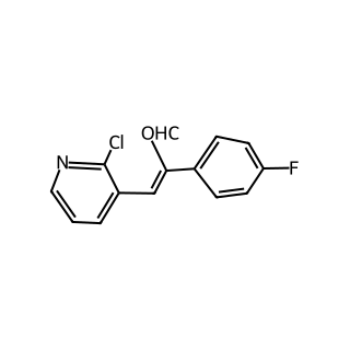 O=CC(=Cc1cccnc1Cl)c1ccc(F)cc1